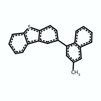 Cc1cc(-c2ccc3sc4ccccc4c3c2)c2ccccc2c1